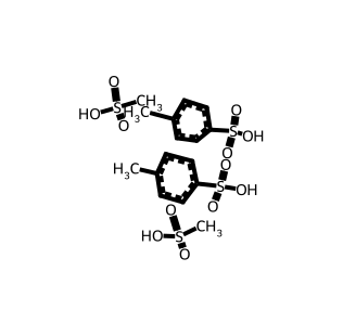 CS(=O)(=O)O.CS(=O)(=O)O.Cc1ccc(S(=O)(=O)O)cc1.Cc1ccc(S(=O)(=O)O)cc1